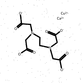 O=C([O-])CN(CCN(CC(=O)[O-])CC(=O)[O-])CC(=O)[O-].[Ca+2].[Cu+2]